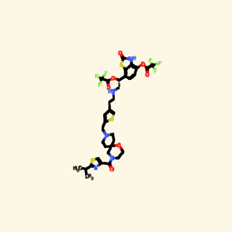 CC(C)c1nc(C(=O)N2CCOC3(CCN(Cc4cc(CCNC[C@H](OC(=O)C(F)(F)F)c5ccc(OC(=O)C(F)(F)F)c6[nH]c(=O)sc56)cs4)CC3)C2)cs1